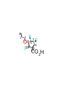 C=CCOc1c(F)c(F)cc(C(=O)O)c1F